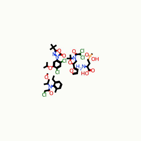 CC(C)Oc1cc(-n2nc(C(C)(C)C)oc2=O)c(Cl)cc1Cl.CC1(C)OC(c2ccco2)CN1C(=O)C(Cl)Cl.CCc1cccc(C)c1N(C(=O)CCl)C(C)COC.CP(=O)(O)CCC(N)C(=O)O